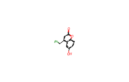 O=c1cc(CBr)c2cc(O)ccc2o1